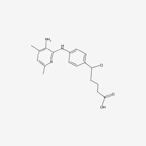 Cc1cc(C)c(N)c(Nc2ccc(C(Cl)CCCC(=O)O)cc2)n1